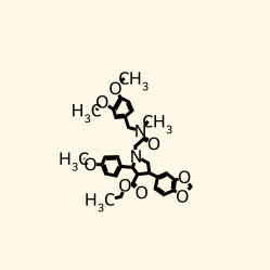 CCOC(=O)C1C(c2ccc3c(c2)OCO3)CN(CC(=O)N(C)Cc2ccc(OC)c(OC)c2)C1c1ccc(OC)cc1